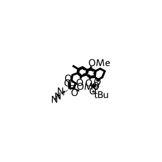 COc1c2c(c(OC(=O)OC(C)(C)C)c3c4c(c(C)cc13)C1O[C@]3(CN=[N+]=[N-])O[C@@H]1C(OC)(O4)[C@@]31CO1)C(=O)CCC2